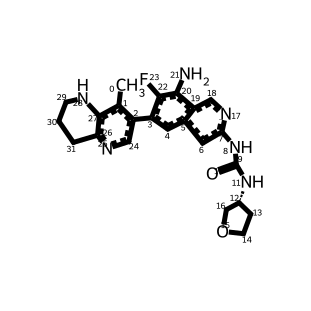 Cc1c(-c2cc3cc(NC(=O)N[C@@H]4CCOC4)ncc3c(N)c2F)cnc2c1NCCC2